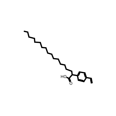 C=Cc1ccc(C(CCCCCCCCCCCCCCCC)C(=O)O)cc1